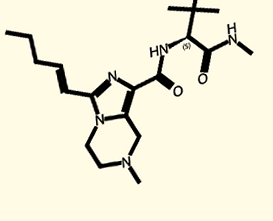 CCCC=Cc1nc(C(=O)N[C@H](C(=O)NC)C(C)(C)C)c2n1CCN(C)C2